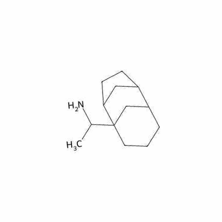 CC(N)C12CCCC(C1)C1CCC2C1